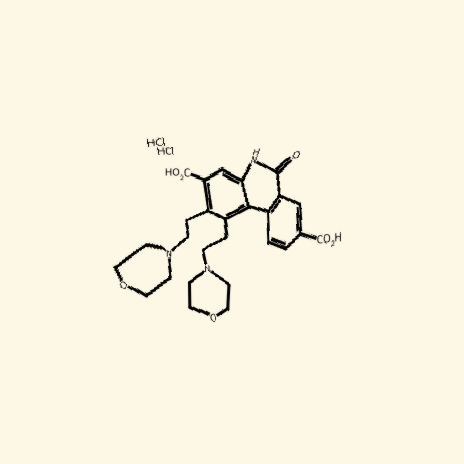 Cl.Cl.O=C(O)c1ccc2c(c1)c(=O)[nH]c1cc(C(=O)O)c(CCN3CCOCC3)c(CCN3CCOCC3)c12